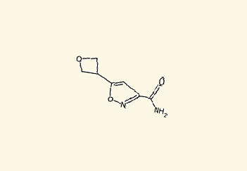 NC(=O)c1cc(C2COC2)on1